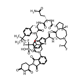 CC(C)(C)c1ccc(C[C@H](NC(=O)[C@H](CCC(N)=O)NC(=O)[C@@H]2CC[C@@H]3CCN(CC(F)F)C[C@H](NC(=O)c4cc5cc(C(F)(F)P(=O)(O)O)ccc5s4)C(=O)N32)C(=O)NCCC2CCN(c3cccc4c3C(=O)N(C3CCC(=O)NC3=O)C4=O)CC2)cc1